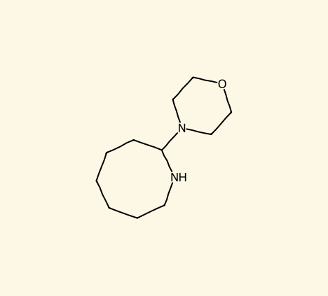 C1CCCC(N2CCOCC2)NCC1